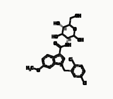 COc1ccc2c(C(=O)N[C@H]3C(O)OC(CO)[C@@H](O)C3O)cn(Cc3cc(Cl)ccc3Cl)c2c1